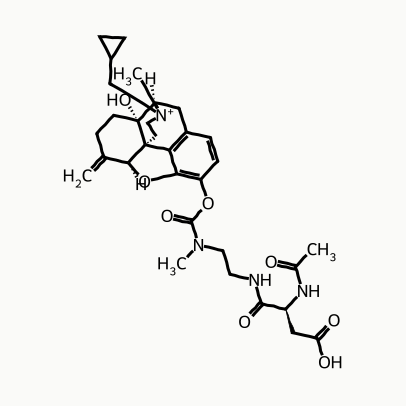 C=C1CC[C@@]2(O)[C@H]3Cc4ccc(OC(=O)N(C)CCNC(=O)[C@H](CC(=O)O)NC(C)=O)c5c4[C@@]2(CC[N+]3(C)CC2CC2)[C@H]1O5